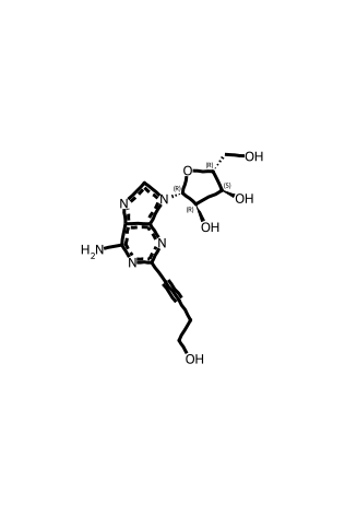 Nc1nc(C#CCCO)nc2c1ncn2[C@@H]1O[C@H](CO)[C@@H](O)[C@H]1O